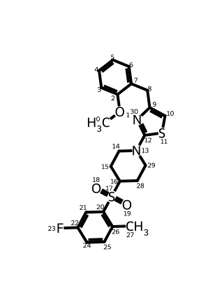 COc1ccccc1Cc1csc(N2CCC(S(=O)(=O)c3cc(F)ccc3C)CC2)n1